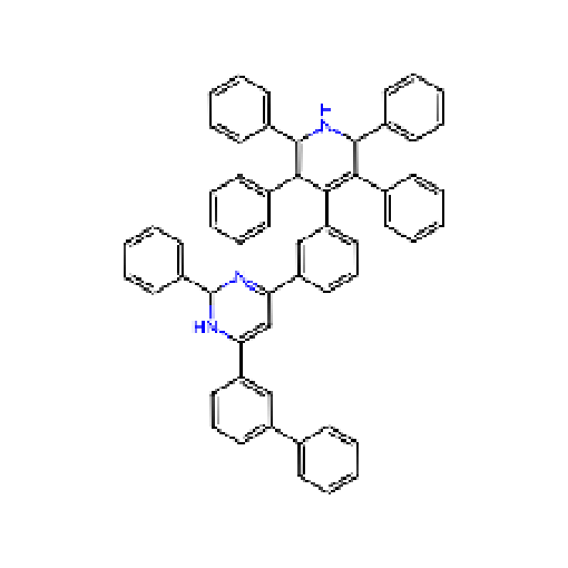 C1=C(c2cccc(-c3ccccc3)c2)NC(c2ccccc2)N=C1c1cccc(C2=C(c3ccccc3)C(c3ccccc3)NC(c3ccccc3)=C2c2ccccc2)c1